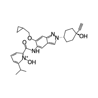 C#C[C@]1(O)CC[C@H](n2cc3cc(NC(=O)c4cccc(C(C)C)[n+]4O)c(OCC4CC4)cc3n2)CC1